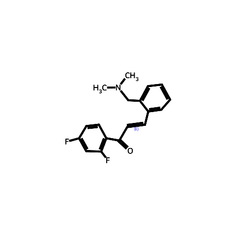 CN(C)Cc1ccccc1/C=C/C(=O)c1ccc(F)cc1F